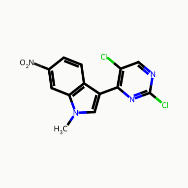 Cn1cc(-c2nc(Cl)ncc2Cl)c2ccc([N+](=O)[O-])cc21